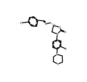 O=C1O[C@@H](CN=Cc2ccc(Cl)cc2)CN1c1ccc(N2CCSCC2)c(F)c1